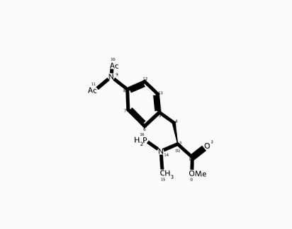 COC(=O)[C@H](Cc1ccc(N(C(C)=O)C(C)=O)cc1)N(C)P